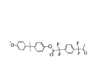 COc1ccc(C(C)(C)c2ccc(OC(=O)C(F)(F)c3ccc(C(F)(F)C(C)=O)cc3)cc2)cc1